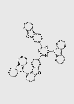 c1ccc2c(c1)oc1cc(-c3nc(-c4ccc5c(c4)oc4cccc(-n6c7ccccc7c7ccccc76)c45)nc(-n4c5ccccc5c5ccccc54)n3)ccc12